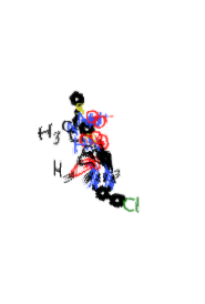 CN(C)CCC(CSc1ccccc1)Nc1ccc(S(=O)(=O)NC(=O)c2ccc(N3CCN(Cc4cc(CN5CCN(C(=O)OC(C)(C)C)CC5)ccc4-c4ccc(Cl)cc4)CC3)cc2)cc1[N+](=O)[O-]